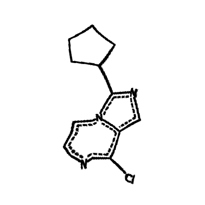 Clc1nccn2c(C3CCCC3)ncc12